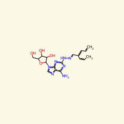 C=C/C=C(\C=C/C)/C=N/Nc1nc(N)c2ncn(C3OC(CO)C(O)C3O)c2n1